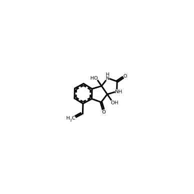 C=Cc1cccc2c1C(=O)C1(O)NC(=O)NC21O